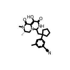 Cc1cc(C#N)cc(C2(CC3NC(=O)C(O)=C4C(=O)N(C)[C@@H](C)CN43)CCCC2)c1